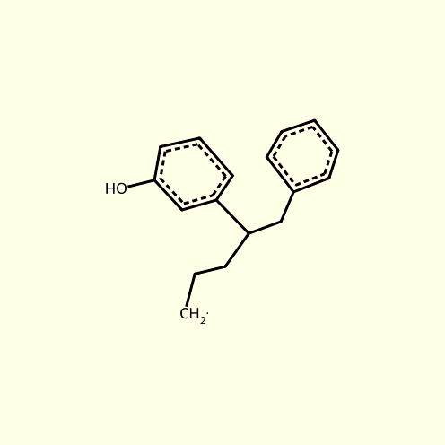 [CH2]CCC(Cc1ccccc1)c1cccc(O)c1